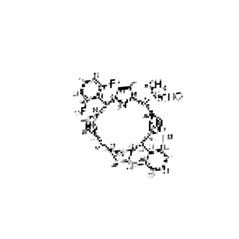 CN(C=O)c1c2nc(c(-c3c(F)cccc3F)c3ccc(cc4nc(c(-c5c(F)cccc5F)c5ccc1[nH]5)C=C4)[nH]3)C=C2